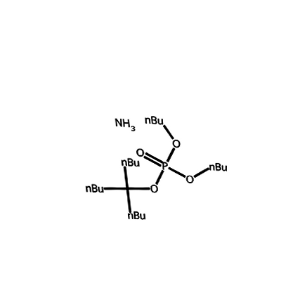 CCCCOP(=O)(OCCCC)OC(CCCC)(CCCC)CCCC.N